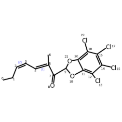 CC/C=C\C=C(/C)C(=O)C1Oc2c(Cl)c(Cl)c(Cl)c(Cl)c2O1